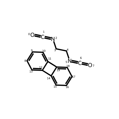 O=C=NCCN=C=O.c1ccc2c(c1)-c1ccccc1-2